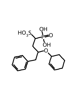 O=P(O)(O)C(CC(Cc1ccccc1)OC1C=CCCC1)S(=O)(=O)O